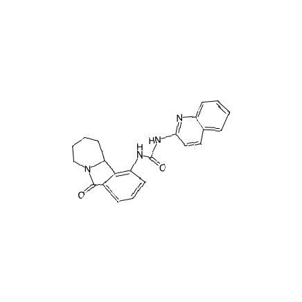 O=C(Nc1ccc2ccccc2n1)Nc1cccc2c1C1CCCCN1C2=O